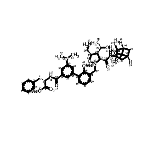 COC(=O)[C@H](Cc1ccccc1)NC(=O)c1cc(-c2cccc(CN3O[C@@H](CN)[C@@H]([C@H](C)O)[C@H]3C(=O)N[C@H]3C[C@H]4C[C@@H]([C@@H]3C)C4(C)C)c2OC)cc(N(C)C)c1